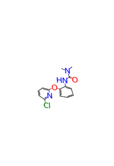 CN(C)C(=O)Nc1ccccc1Oc1cccc(Cl)n1